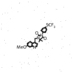 COc1ccc2c(CN3C(=O)N(c4ccc(SC(F)(F)F)cc4)C(=O)C3(C)C)ccnc2c1